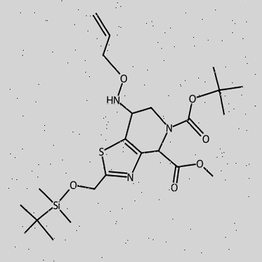 C=CCONC1CN(C(=O)OC(C)(C)C)C(C(=O)OC)c2nc(CO[Si](C)(C)C(C)(C)C)sc21